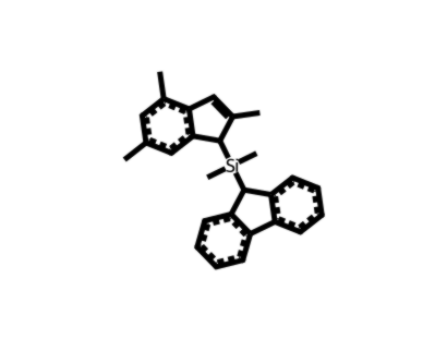 CC1=Cc2c(C)cc(C)cc2C1[Si](C)(C)C1c2ccccc2-c2ccccc21